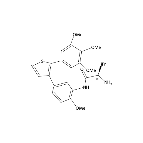 COc1ccc(-c2cnsc2-c2cc(OC)c(OC)c(OC)c2)cc1NC(=O)[C@H](N)C(C)C